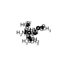 Cn1c(N)nc2c(-c3cc(C(C)(C)C)on3)c(Nc3ccnc(Nc4ccc(CS(C)(=O)=O)cc4)n3)ccc21.O=C(O)C(F)(F)F